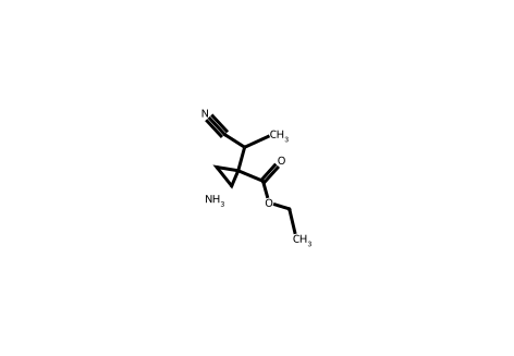 CCOC(=O)C1(C(C)C#N)CC1.N